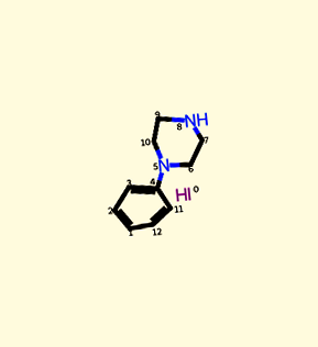 I.c1ccc(N2CCNCC2)cc1